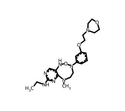 CCNc1ncc2c(n1)N(C)CCN(c1cccc(OCCN3CCOCC3)c1)ON2